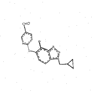 O=Cc1ccc(Oc2ccc3c(nnn3CC3CC3)c2Br)nc1